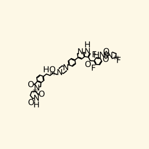 O=C1CC[C@H](N2Cc3cc(CC[C@@H](O)CN4CCN(c5ccc(-c6cnc7[nH]cc(C(=O)c8c(F)ccc(NS(=O)(=O)N9CC[C@@H](F)C9)c8F)c7c6)cc5)CC4)ccc3C2=O)C(=O)N1